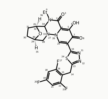 CCN1C(=O)c2c(O)c(=O)c(-c3nnc(Cc4c(F)cc(F)cc4F)s3)cn2N2C[C@H]3CC[C@H](O3)C12